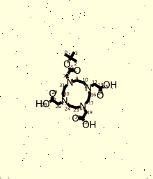 CC(C)(C)OC(=O)CN1CCN(CC(=O)O)CCN(CC(=O)O)CCN(CC(=O)O)CC1